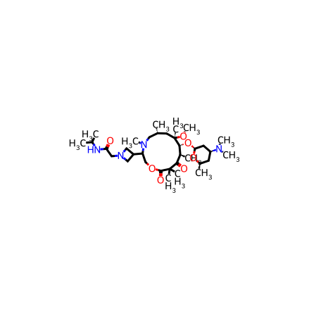 CO[C@]1(C)C[C@@H](C)CN(C)C(C2CN(CC(=O)NC(C)C)C2)COC(=O)C(C)(C)C(=O)[C@H](C)[C@H]1O[C@H]1C[C@@H](N(C)C)C[C@@H](C)O1